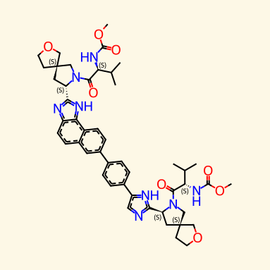 COC(=O)N[C@H](C(=O)N1C[C@@]2(CCOC2)C[C@H]1c1ncc(-c2ccc(-c3ccc4c(ccc5nc([C@@H]6C[C@]7(CCOC7)CN6C(=O)[C@@H](NC(=O)OC)C(C)C)[nH]c54)c3)cc2)[nH]1)C(C)C